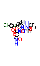 CC(C)[C@H](NC(=O)C(F)(F)F)C(=O)N1C[C@H]2[C@@H]([C@H]1C(=O)N[C@@H](C[C@@H]1CCNC1=O)C(=O)COc1cc(Cl)ccc1F)C2(C)C